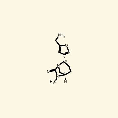 CN1C(=O)N2C[C@H]1CC[C@H]2c1cc(CN)on1